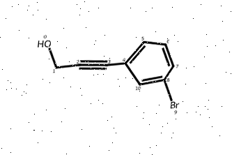 OCC#Cc1cccc(Br)c1